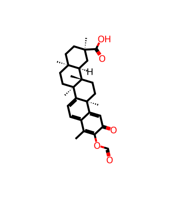 CC1=C(OC=O)C(=O)C=C2C1=CC=C1[C@@]2(C)CC[C@@]2(C)[C@@H]3C[C@](C)(C(=O)O)CC[C@]3(C)CC[C@]12C